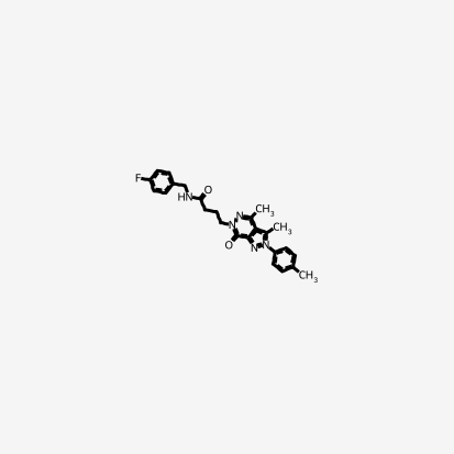 Cc1ccc(-n2nc3c(=O)n(CCCC(=O)NCc4ccc(F)cc4)nc(C)c3c2C)cc1